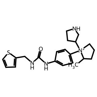 CC1CCC[N+]1(c1ccc(NC(=O)NCc2cccs2)cc1)C1CCNC1